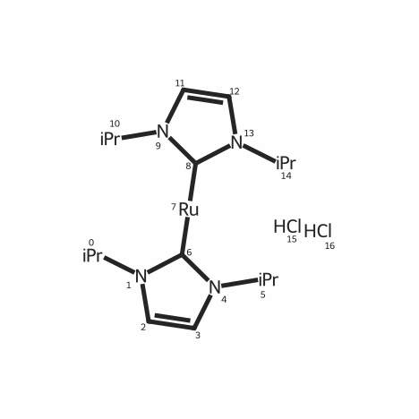 CC(C)N1C=CN(C(C)C)[CH]1[Ru][CH]1N(C(C)C)C=CN1C(C)C.Cl.Cl